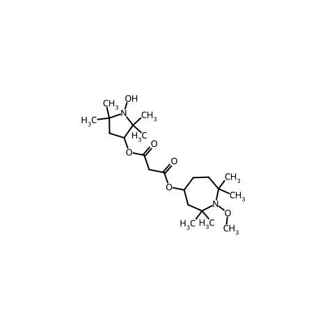 CON1C(C)(C)CCC(OC(=O)CC(=O)OC2CC(C)(C)N(O)C2(C)C)CC1(C)C